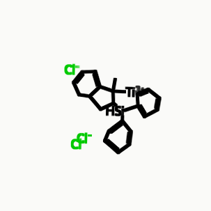 C[C]1([Ti+3])C2=CC=CCC2CC1[SiH](c1ccccc1)c1ccccc1.[Cl-].[Cl-].[Cl-]